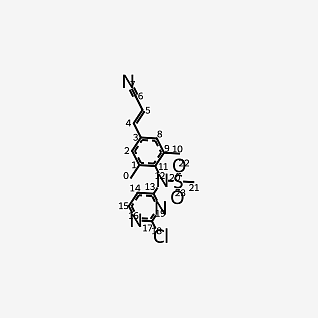 Cc1cc(/C=C/C#N)cc(C)c1N(c1ccnc(Cl)n1)S(C)(=O)=O